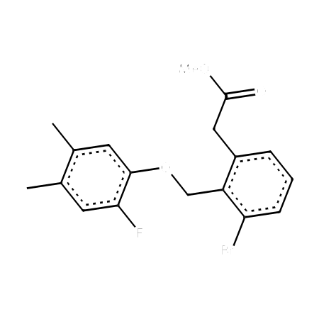 COC(=O)Cc1cccc(Br)c1COc1cc(C)c(C)cc1F